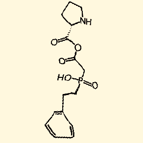 O=C(CP(=O)(O)CCc1ccccc1)OC(=O)[C@@H]1CCCN1